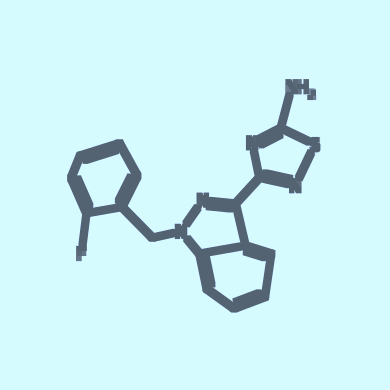 Nc1nc(-c2nn(Cc3ccccc3F)c3ccccc23)ns1